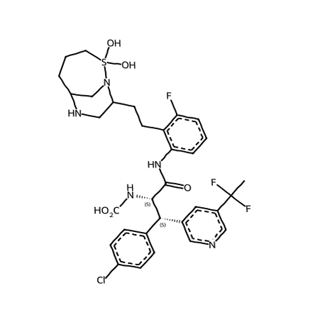 CC(F)(F)c1cncc([C@H](c2ccc(Cl)cc2)[C@H](NC(=O)O)C(=O)Nc2cccc(F)c2CCC2CNC3CCCS(O)(O)N2C3)c1